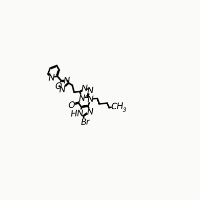 CCCCCn1c2nc(Br)[nH]c2c(=O)n2c(CCc3noc(-c4ccccn4)n3)nnc12